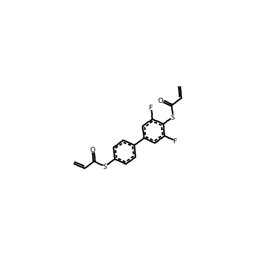 C=CC(=O)Sc1ccc(-c2cc(F)c(SC(=O)C=C)c(F)c2)cc1